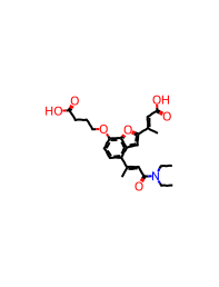 CCN(CC)C(=O)C=C(C)c1ccc(OCCCC(=O)O)c2oc(C(C)=CC(=O)O)cc12